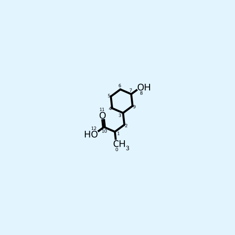 CC(CC1CCCC(O)C1)C(=O)O